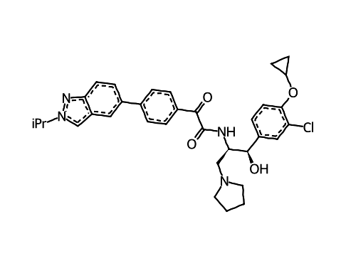 CC(C)n1cc2cc(-c3ccc(C(=O)C(=O)N[C@H](CN4CCCC4)[C@H](O)c4ccc(OC5CC5)c(Cl)c4)cc3)ccc2n1